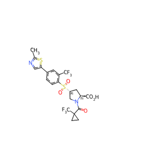 Cc1ncc(-c2ccc(S(=O)(=O)[C@@H]3C[C@@H](C(=O)O)N(C(=O)C4(C(F)(F)F)CC4)C3)c(C(F)(F)F)c2)s1